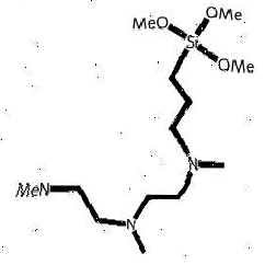 CNCCN(C)CCN(C)CCC[Si](OC)(OC)OC